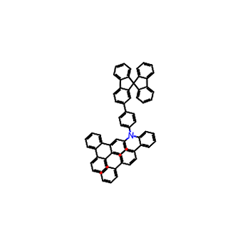 c1ccc(-c2ccc(-c3ccccc3N(c3ccc(-c4ccc5c(c4)C4(c6ccccc6-c6ccccc64)c4ccccc4-5)cc3)c3ccc4c5ccccc5c5ccccc5c4c3)cc2)cc1